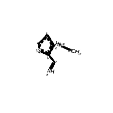 CNc1ccsc1C=N